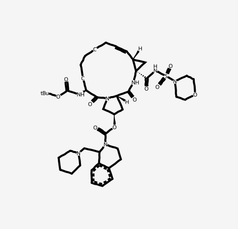 CC(C)(C)OC(=O)N[C@H]1CCCCC/C=C\[C@@H]2C[C@@]2(C(=O)NS(=O)(=O)N2CCOCC2)NC(=O)[C@@H]2C[C@@H](OC(=O)N3CCc4ccccc4C3CN3CCCCC3)CN2C1=O